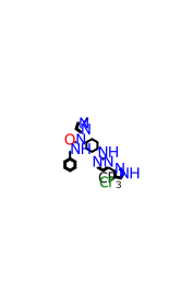 Cn1ccc(N(C(=O)NCc2ccccc2)C2CCC(Nc3ncc(C(F)(F)F)c(-c4n[nH]cc4Cl)n3)CC2)n1